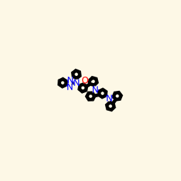 c1ccc2c(c1)nc1n(-c3cccc4c3oc3cccc(-n5c6ccccc6c6cc(-n7c8ccccc8c8ccccc87)ccc65)c34)c3ccccc3n21